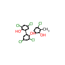 Cc1c(O)cccc1Cl.Oc1c(Cl)cc(Cl)cc1-c1cc(Cl)cc(Cl)c1O